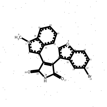 Cn1cc(C2=C(c3coc4ccc(Br)cc34)C(=O)NC2=O)c2ccccc21